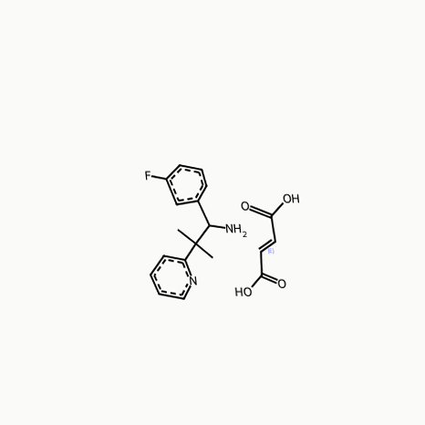 CC(C)(c1ccccn1)C(N)c1cccc(F)c1.O=C(O)/C=C/C(=O)O